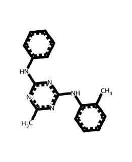 Cc1nc(Nc2ccccc2)nc(Nc2ccccc2C)n1